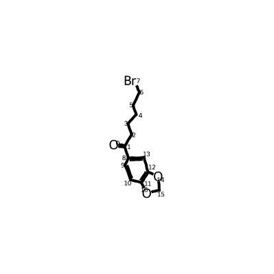 O=C(CCCCCBr)c1ccc2c(c1)OCO2